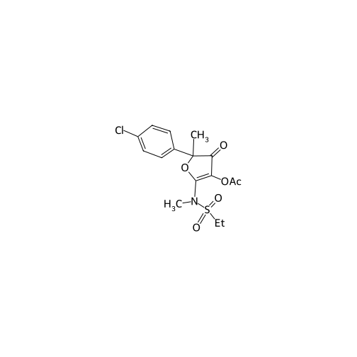 CCS(=O)(=O)N(C)C1=C(OC(C)=O)C(=O)C(C)(c2ccc(Cl)cc2)O1